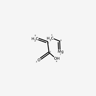 C=CC(=O)O.C[CH]=[Mg]